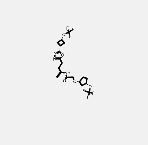 C=C(CCc1nnc([C@H]2C[C@@H](OC(F)(F)F)C2)o1)NC(=O)CO[C@@H]1CC[C@H](OC(F)(F)F)C1